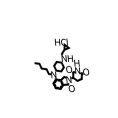 CCCCCN(c1cccc2c1CN(C1CCC(=O)NC1=O)C2=O)C1CCC(NCC2CC2)CC1.Cl